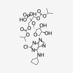 CC(C)OC(=O)OCC(COC(=O)OC(C)C)(OC[C@H]1O[C@@H](n2cnc3c(NC4CCCC4)nc(Cl)nc32)[C@H](O)[C@@H]1O)P(=O)(O)O